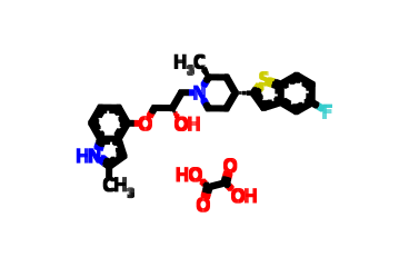 Cc1cc2c(OC[C@@H](O)CN3CC[C@@H](c4cc5cc(F)ccc5s4)C[C@@H]3C)cccc2[nH]1.O=C(O)C(=O)O